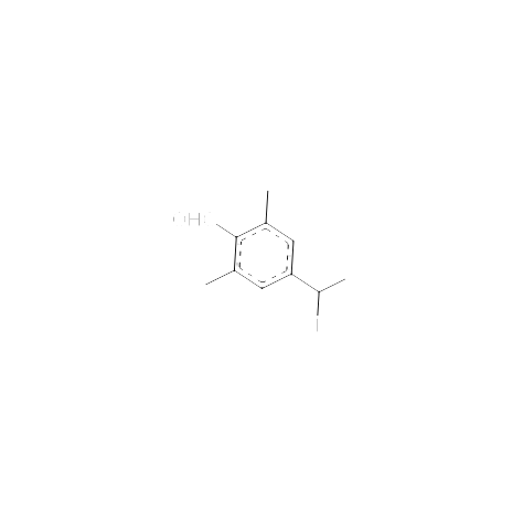 Cc1cc(C(I)I)cc(C)c1C=O